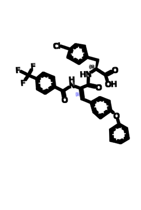 O=C(N[C@@H](Cc1ccc(Cl)cc1)C(=O)O)/C(=C\c1ccc(Oc2ccccc2)cc1)NC(=O)c1ccc(C(F)(F)F)cc1